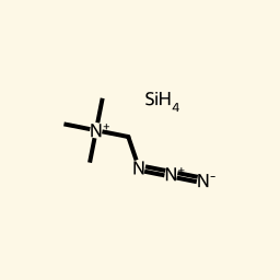 C[N+](C)(C)CN=[N+]=[N-].[SiH4]